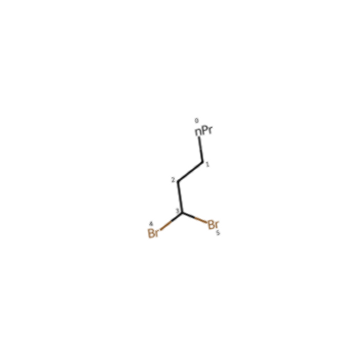 [CH2]CCCCC(Br)Br